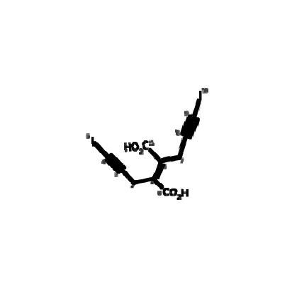 O=C(O)/C(CC#CI)=C(\CC#CI)C(=O)O